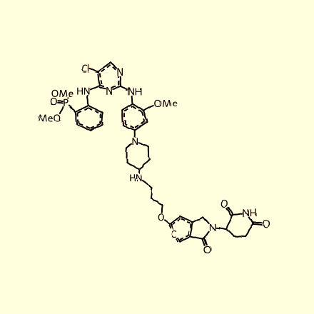 COc1cc(N2CCC(NCCCOc3ccc4c(c3)CN(C3CCC(=O)NC3=O)C4=O)CC2)ccc1Nc1ncc(Cl)c(Nc2ccccc2P(=O)(OC)OC)n1